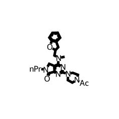 CCCN1Cc2c(nc(N3CCN(C(C)=O)CC3)nc2N(C)CC2Cc3ccccc3O2)C1=O